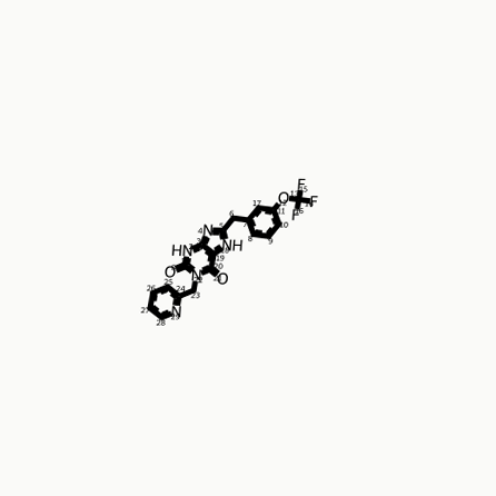 O=c1[nH]c2nc(Cc3cccc(OC(F)(F)F)c3)[nH]c2c(=O)n1Cc1ccccn1